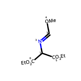 CCOC(=O)C(N=COC)C(=O)OCC